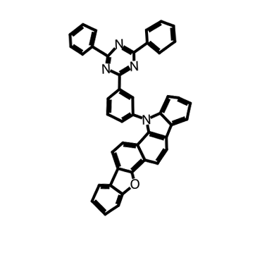 c1ccc(-c2nc(-c3ccccc3)nc(-c3cccc(-n4c5ccccc5c5ccc6c(ccc7c8ccccc8oc76)c54)c3)n2)cc1